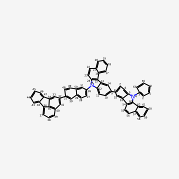 c1ccc(-n2c3ccc(-c4ccc5c(c4)c4c6ccccc6ccc4n5-c4ccc5cc(-c6cc7c8c(cccc8c6)-c6ccccc6-7)ccc5c4)cc3c3ccc4ccccc4c32)cc1